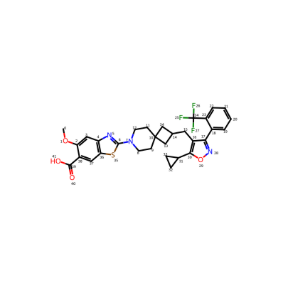 COc1cc2nc(N3CCC4(CC3)CC(Cc3c(-c5ccccc5C(F)(F)F)noc3C3CC3)C4)sc2cc1C(=O)O